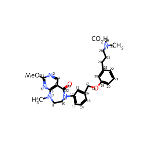 COc1ncc2c(n1)N(C)CCN(c1cccc(COc3cccc(CCCN(C)C(=O)O)c3)c1)C2=O